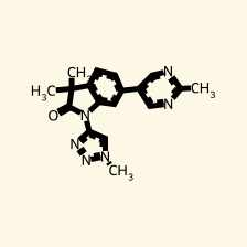 Cc1ncc(-c2ccc3c(c2)N(c2cn(C)nn2)C(=O)C3(C)C)cn1